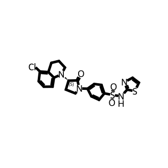 O=C1[C@@H](N2CCCc3c(Cl)cccc32)CCN1c1ccc(S(=O)(=O)Nc2nccs2)cc1